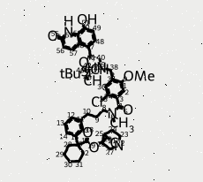 COc1cc(C(=O)N(C)CCCc2cccc(C3(C(=O)OC4CN5CCC4CC5)CCCCC3)c2)c(Cl)cc1CNC[C@H](O[Si](C)(C)C(C)(C)C)c1ccc(O)c2[nH]c(=O)ccc12